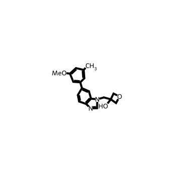 COc1cc(C)cc(-c2ccc3ncn(CC4(O)COC4)c3c2)c1